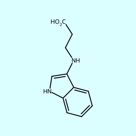 O=C(O)CCNc1c[nH]c2ccccc12